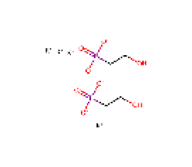 O=P([O-])([O-])CCO.O=P([O-])([O-])CCO.[K+].[K+].[K+].[K+]